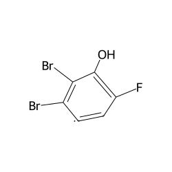 Oc1c(F)c[c]c(Br)c1Br